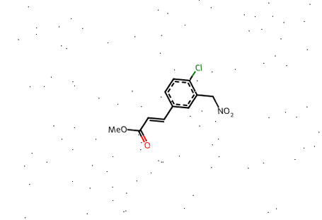 COC(=O)C=Cc1ccc(Cl)c(C[N+](=O)[O-])c1